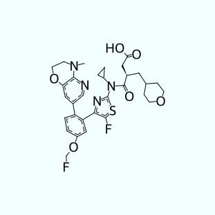 CN1CCOc2cc(-c3ccc(OCF)cc3-c3nc(N(C(=O)[C@@H](CC(=O)O)CC4CCOCC4)C4CC4)sc3F)cnc21